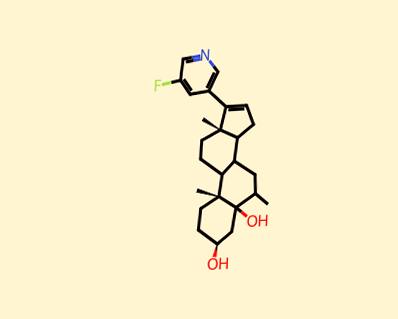 CC1CC2C3CC=C(c4cncc(F)c4)[C@@]3(C)CCC2[C@@]2(C)CC[C@H](O)CC12O